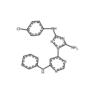 Nc1nc(Nc2ccc(Cl)cc2)nn1-c1cc(Nc2ccccc2)ncn1